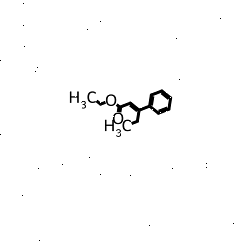 CCOC(=O)/C=C(\CC)c1ccccc1